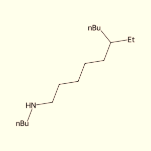 CCCCNCCCCCC(CC)CCCC